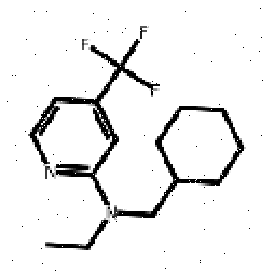 CCN(CC1CCCCC1)c1cc(C(F)(F)F)ccn1